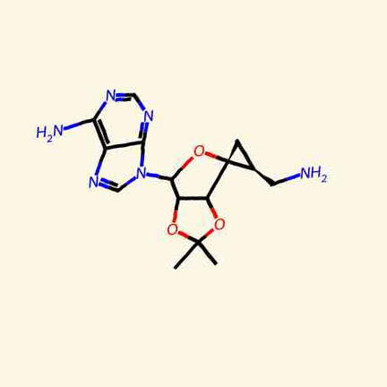 CC1(C)OC2C(n3cnc4c(N)ncnc43)O[C@@]3(C[C@H]3CN)C2O1